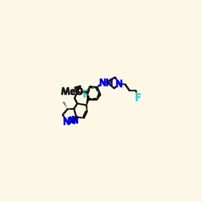 COc1cc(NC2CN(CCCF)C2)ccc1[C@H]1C=CC23CN=NC2=NC[C@H](C)C3C1CC1(F)CC1